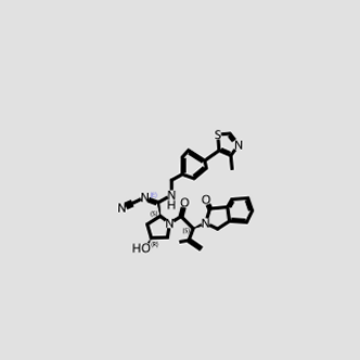 C=C(C)[C@@H](C(=O)N1C[C@H](O)C[C@H]1/C(=N\C#N)NCc1ccc(-c2scnc2C)cc1)N1Cc2ccccc2C1=O